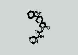 CN(C)[C@]1(c2ccccc2)CC[C@@]2(CC1)CC(=O)N(CC(=O)Nc1ccncn1)C2